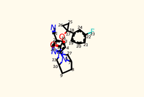 N#Cc1ccc(N2C3CCC2CN(C(=O)COC2(c4cccc(F)c4)CC2)C3)nc1